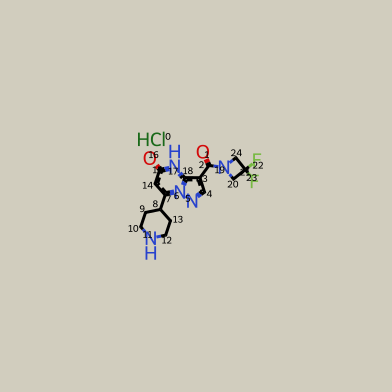 Cl.O=C(c1cnn2c(C3CCNCC3)cc(=O)[nH]c12)N1CC(F)(F)C1